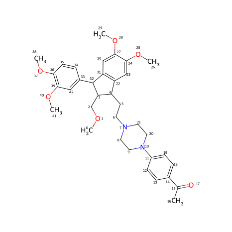 COCC1C(CCN2CCN(c3ccc(C(C)=O)cc3)CC2)c2cc(OC)c(OC)cc2C1c1ccc(OC)c(OC)c1